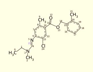 CCN(C)/C=N/c1cc(C)c(C(=O)OCc2ccccc2C)cc1Cl